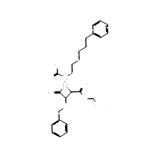 CCOC(=O)C1C(SCc2ccccc2)C(=O)N1N(CCCCCCc1ccccc1)C(C)=O